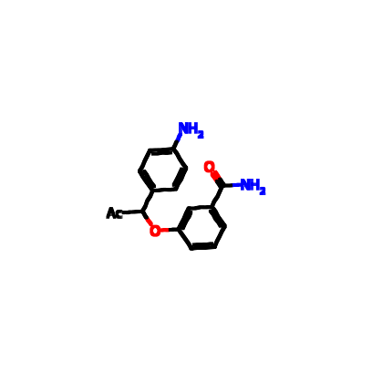 CC(=O)C(Oc1cccc(C(N)=O)c1)c1ccc(N)cc1